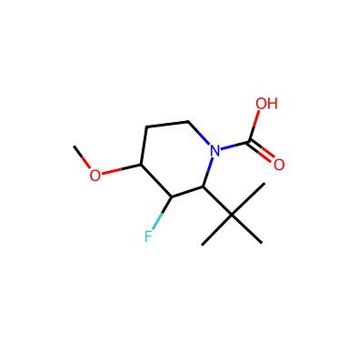 COC1CCN(C(=O)O)C(C(C)(C)C)C1F